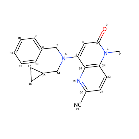 Cn1c(=O)cc(N(Cc2ccccc2)CC2CC2)c2nc(C#N)ccc21